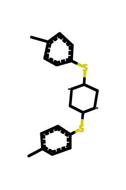 Cc1ccc(SC2[CH]CC(Sc3ccc(C)cc3)[CH]C2)cc1